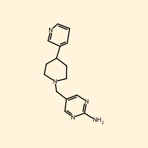 Nc1ncc(CN2CCC(c3cccnc3)CC2)cn1